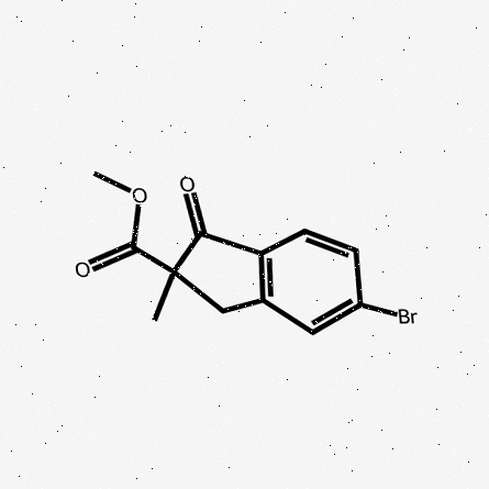 COC(=O)C1(C)Cc2cc(Br)ccc2C1=O